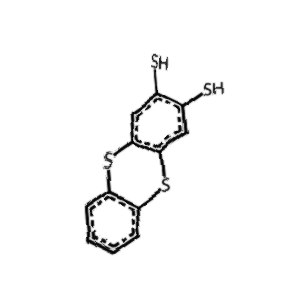 Sc1cc2c(cc1S)Sc1ccccc1S2